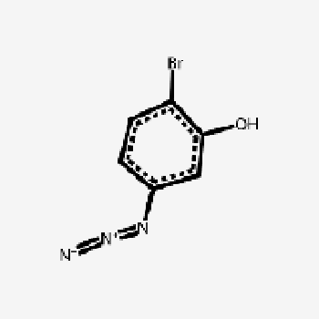 [N-]=[N+]=Nc1ccc(Br)c(O)c1